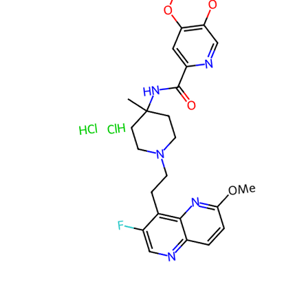 COc1ccc2ncc(F)c(CCN3CCC(C)(NC(=O)c4cc5c(cn4)OCCO5)CC3)c2n1.Cl.Cl